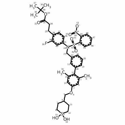 Cc1cc(OCC2CCS(O)(O)CC2)cc(C)c1-c1cccc(CN(c2ccc(CCC(=O)OC(C)(C)C)c(F)c2)S(=O)(=O)c2ccccc2[N+](=O)[O-])c1